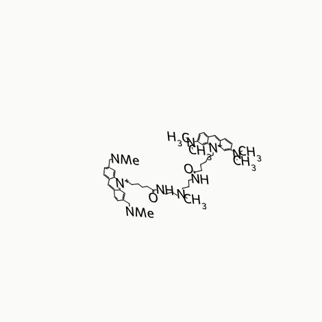 CNCc1ccc2cc3ccc(CNC)cc3[n+](CCCCCC(=O)NCCCN(C)CCCNC(=O)CCCCC[n+]3c4cc(N(C)C)ccc4cc4ccc(N(C)C)cc43)c2c1